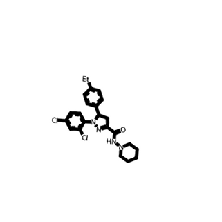 CCc1ccc(C2CC(C(=O)NN3CCCCC3)=NN2c2ccc(Cl)cc2Cl)cc1